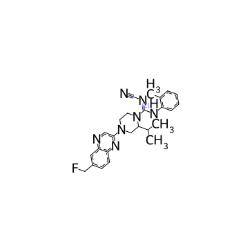 Cc1ccccc1N/C(=N/C#N)N1CCN(c2cnc3cc(CF)ccc3n2)CC1C(C)C